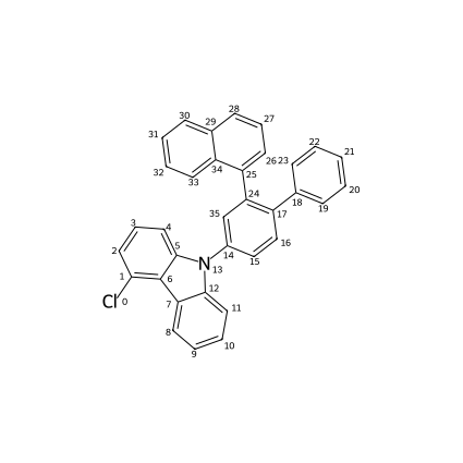 Clc1cccc2c1c1ccccc1n2-c1ccc(-c2ccccc2)c(-c2cccc3ccccc23)c1